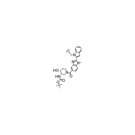 Cn1c(-c2cc3ccccc3n2CC2CC2)nc2cc(C(=O)N3CC[C@@H](O)[C@@H](NC(=O)OC(C)(C)C)C3)ccc21